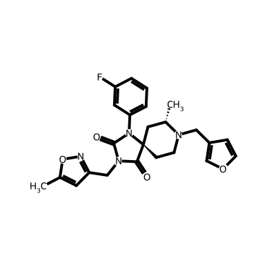 Cc1cc(CN2C(=O)N(c3cccc(F)c3)[C@@]3(CCN(Cc4ccoc4)[C@@H](C)C3)C2=O)no1